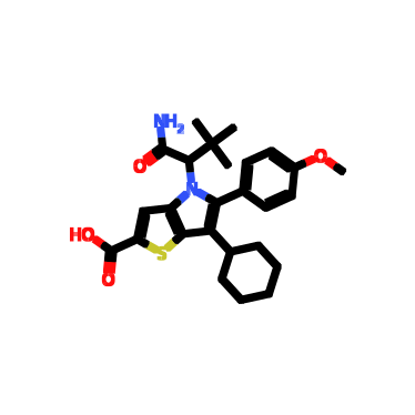 COc1ccc(-c2c(C3CCCCC3)c3sc(C(=O)O)cc3n2C(C(N)=O)C(C)(C)C)cc1